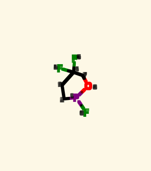 FP1CCC(F)(F)CO1